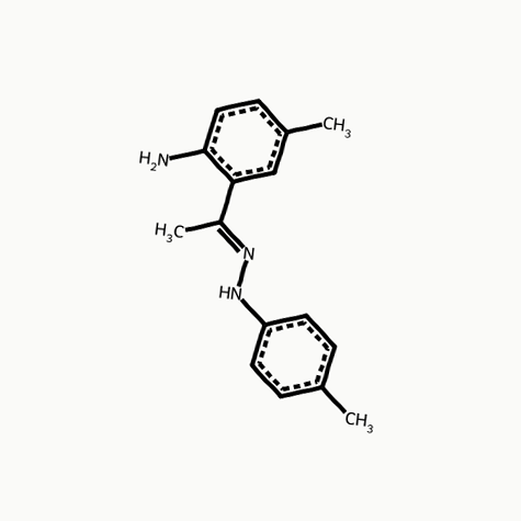 C/C(=N\Nc1ccc(C)cc1)c1cc(C)ccc1N